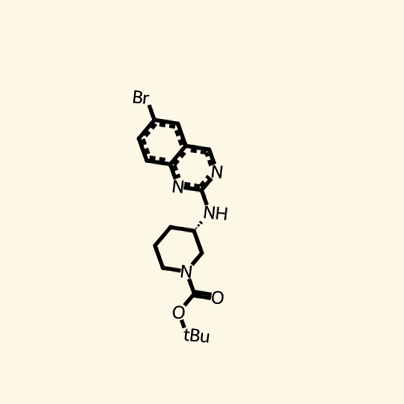 CC(C)(C)OC(=O)N1CCC[C@H](Nc2ncc3cc(Br)ccc3n2)C1